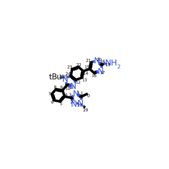 Cc1nc(-c2ccccc2-c2nc3cc(-c4cnc(N)nc4)ccc3n2C(C)(C)C)nn1C